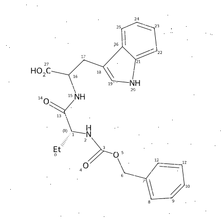 CC[C@@H](NC(=O)OCc1ccccc1)C(=O)NC(Cc1c[nH]c2ccccc12)C(=O)O